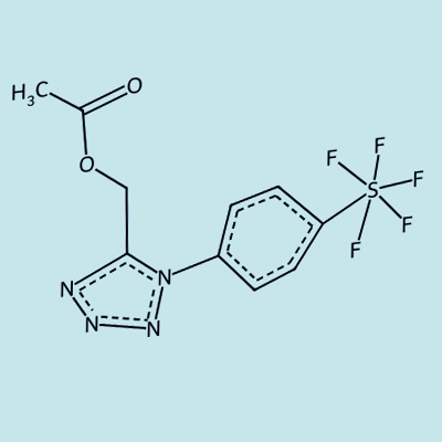 CC(=O)OCc1nnnn1-c1ccc(S(F)(F)(F)(F)F)cc1